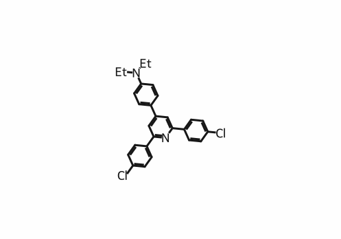 CCN(CC)c1ccc(-c2cc(-c3ccc(Cl)cc3)nc(-c3ccc(Cl)cc3)c2)cc1